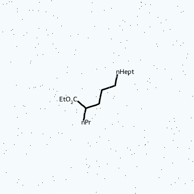 CCCCCCCCCCC(CCC)C(=O)OCC